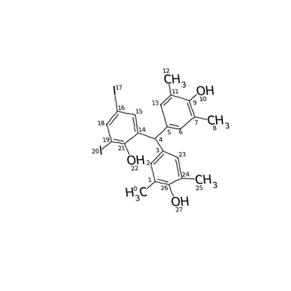 Cc1cc(C(c2cc(C)c(O)c(C)c2)c2cc(I)cc(I)c2O)cc(C)c1O